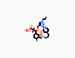 CCCn1cc(COC(c2ccc(C)c(CN3C[C@@H](C)Cc4ccncc4S3(=O)=O)c2)C(C)(C)C(=O)O)nn1